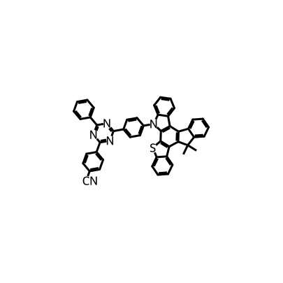 CC1(C)c2ccccc2-c2c1c1c3ccccc3sc1c1c2c2ccccc2n1-c1ccc(-c2nc(-c3ccccc3)nc(-c3ccc(C#N)cc3)n2)cc1